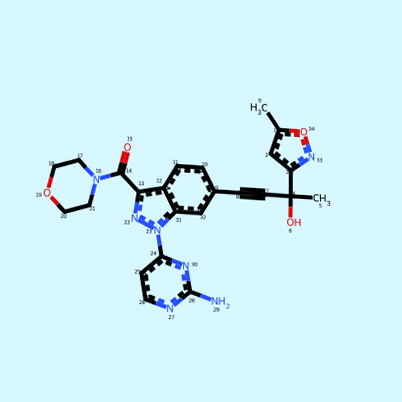 Cc1cc(C(C)(O)C#Cc2ccc3c(C(=O)N4CCOCC4)nn(-c4ccnc(N)n4)c3c2)no1